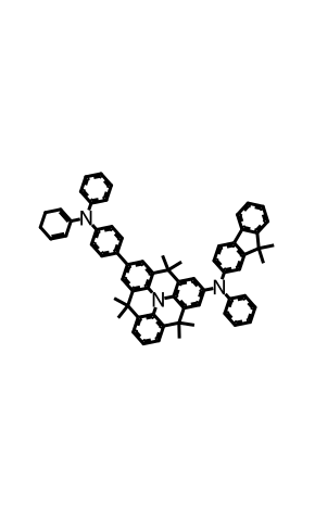 CC1(C)c2ccccc2-c2ccc(N(c3ccccc3)c3cc4c5c(c3)C(C)(C)c3cc(-c6ccc(N(C7=CCCC=C7)c7ccccc7)cc6)cc6c3N5c3c(cccc3C4(C)C)C6(C)C)cc21